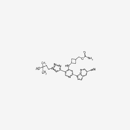 CC(C)(O)CCn1cc(-c2cnc(-c3ccc4cc(C#N)cnn34)cc2NC2CC(COC(N)=O)C2)nn1